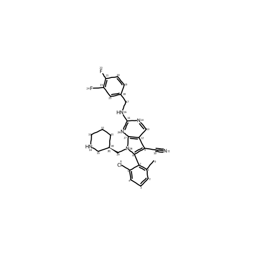 Cc1cccc(Cl)c1-c1c(C#N)c2cnc(NCc3ccc(F)c(F)c3)nc2n1C[C@@H]1CCCNC1